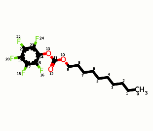 CCCCCCCCCCOC(=O)Oc1c(F)c(F)c(F)c(F)c1F